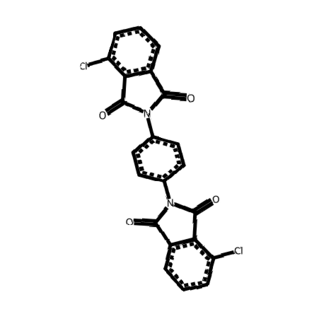 O=C1c2cccc(Cl)c2C(=O)N1c1ccc(N2C(=O)c3cccc(Cl)c3C2=O)cc1